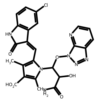 Cc1c(C(=O)O)c(C)n(C(On2nnc3cccnc32)C(O)C(N)=O)c1C=C1C(=O)Nc2ccc(Cl)cc21